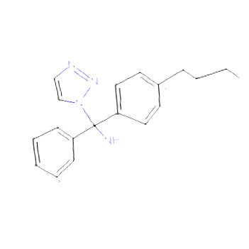 CCCCc1ccc(C(N)(c2ccccc2)n2ccnn2)cc1